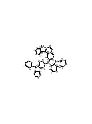 c1ccc(-n2c3ccccc3c3cc(N(c4ccc5ccc6oc7ccccc7c6c5c4)c4cccc5c4oc4ccccc45)ccc32)cc1